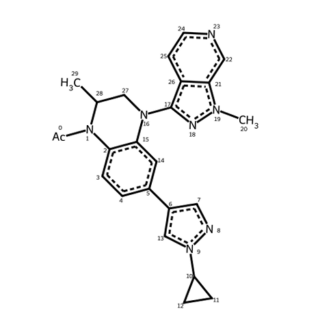 CC(=O)N1c2ccc(-c3cnn(C4CC4)c3)cc2N(c2nn(C)c3cnccc23)CC1C